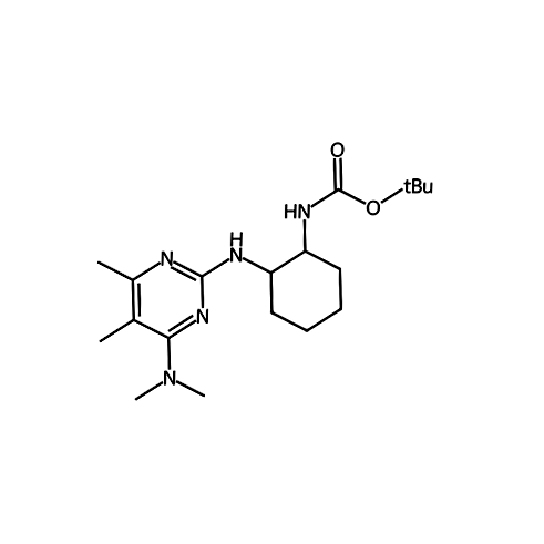 Cc1nc(NC2CCCCC2NC(=O)OC(C)(C)C)nc(N(C)C)c1C